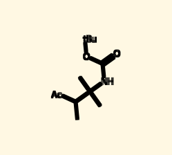 CC(=O)C(C)C(C)(C)NC(=O)OC(C)(C)C